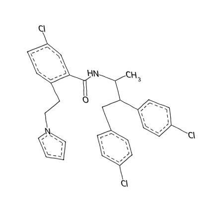 CC(NC(=O)c1cc(Cl)ccc1CCn1cccc1)C(Cc1ccc(Cl)cc1)c1ccc(Cl)cc1